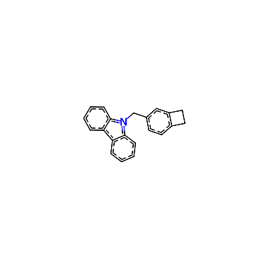 c1ccc2c(c1)c1ccccc1n2Cc1ccc2c(c1)CC2